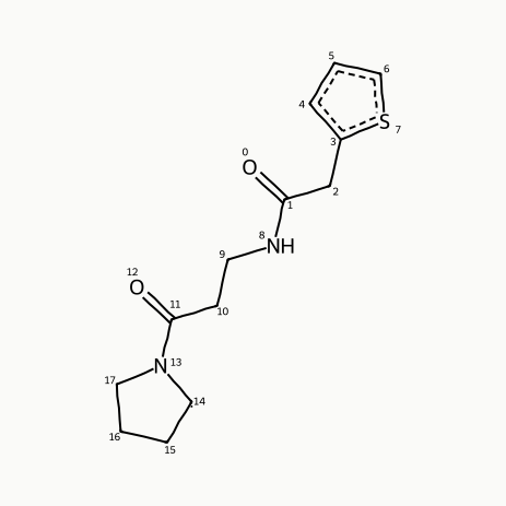 O=C(Cc1cccs1)NCCC(=O)N1[CH]CCC1